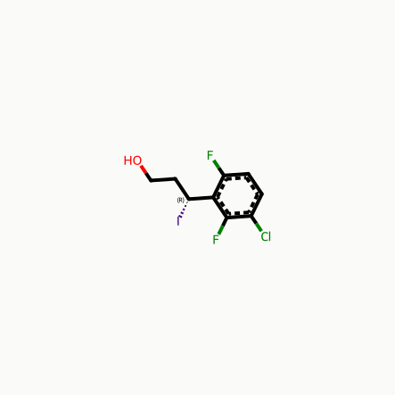 OCC[C@@H](I)c1c(F)ccc(Cl)c1F